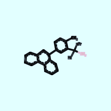 BC(CC)(CCC)c1cc(-c2cc3ccccc3c3ccccc23)ccc1C